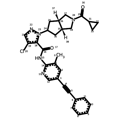 Cc1cc(C#Cc2ccccc2)cnc1NC(=O)c1c(Cl)cnn1C1C[C@@H]2CN(C(=O)C3CC3)C[C@@H]2C1